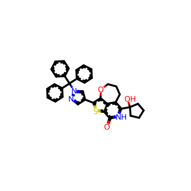 O=c1[nH]c(C2(O)CCCC2)c2c3c(c(-c4cnn(C(c5ccccc5)(c5ccccc5)c5ccccc5)c4)sc13)OCCC2